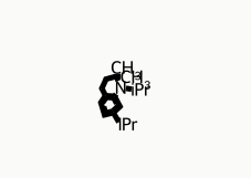 CC(C)c1ccc2c(c1)N(C(C)C)C(C)(C)CC2